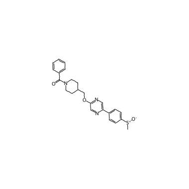 C[S+]([O-])c1ccc(-c2cnc(OCC3CCN(C(=O)c4ccccc4)CC3)cn2)cc1